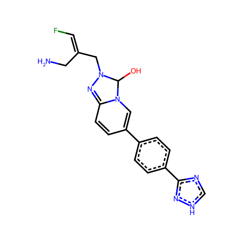 NC/C(=C\F)CN1N=C2C=CC(c3ccc(-c4nc[nH]n4)cc3)=CN2C1O